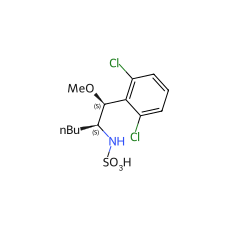 CCCC[C@H](NS(=O)(=O)O)[C@@H](OC)c1c(Cl)cccc1Cl